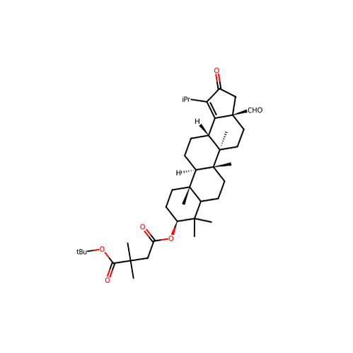 CC(C)C1=C2[C@H]3CC[C@@H]4[C@@]5(C)CC[C@H](OC(=O)CC(C)(C)C(=O)OC(C)(C)C)C(C)(C)C5CC[C@@]4(C)[C@]3(C)CC[C@@]2(C=O)CC1=O